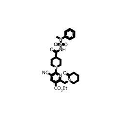 CCOC(=O)c1cc(C#N)c(N2CCC(C(=O)NS(=O)(=O)N(C)c3ccccc3)CC2)nc1CN1CCCCC1=O